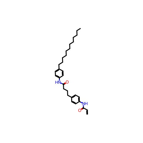 C=CC(=O)Nc1ccc(CCCC(=O)Nc2ccc(CCCCCCCCCCCC)cc2)cc1